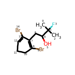 CC(C)(F)C(O)CC1=C(Br)CCC=C1Br